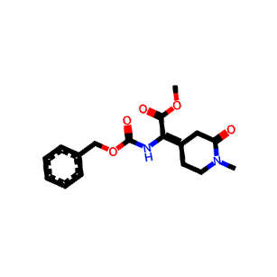 COC(=O)C(NC(=O)OCc1ccccc1)=C1CCN(C)C(=O)C1